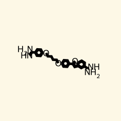 N=C(N)c1ccc(OCCCCOc2ccc(-c3cc4cc(C(=N)N)ccc4o3)cc2)cc1